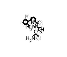 NCC(CCl)Oc1sncc1N(N)C(=O)c1cccc(-c2c(F)cccc2F)n1